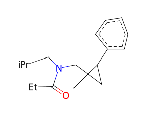 CCC(=O)N(CC(C)C)CC1(C)CC1c1ccccc1